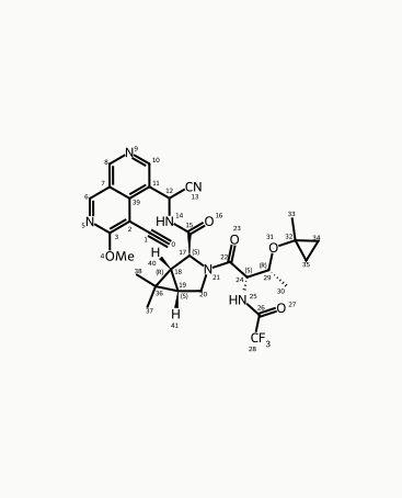 C#Cc1c(OC)ncc2cncc(C(C#N)NC(=O)[C@@H]3[C@@H]4[C@H](CN3C(=O)[C@@H](NC(=O)C(F)(F)F)[C@@H](C)OC3(C)CC3)C4(C)C)c12